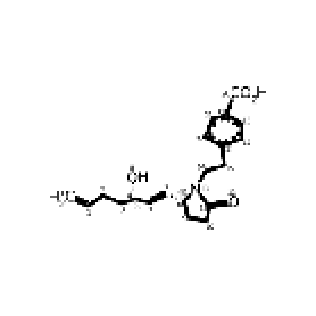 C=CCC[C@H](O)C=C[C@H]1CCC(=O)N1CCc1ccc(C(=O)O)cc1